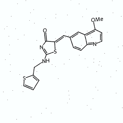 COc1ccnc2ccc(/C=C3\SC(NCc4cccs4)=NC3=O)cc12